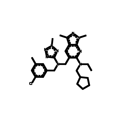 CCN(CC1CCCC1)c1nc2c(cc1CN(Cc1cc(C)cc(Cl)c1)c1nnn(C)n1)c(C)nn2C